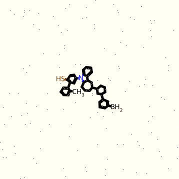 Bc1cccc(C2CCCC(C3CCCC4C(C3)c3ccccc3N4c3ccc(S)c(-c4ccccc4C)c3)C2)c1